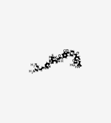 Cn1c(-c2cn(-c3ccc(NCCN(CCN)CCN)cn3)nc2C(F)(F)F)cnc1C(=O)Nc1ccc(C(=O)N2CCN(C(=O)C3CC[N+](CC(=O)O)(CC4CNC4)CC3)CC2)c(Cl)c1